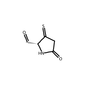 O=[C][C@H]1NC(=O)CC1=S